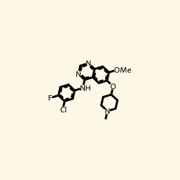 COc1cc2ncnc(Nc3ccc(F)c(Cl)c3)c2cc1OC1CCN(C)CC1